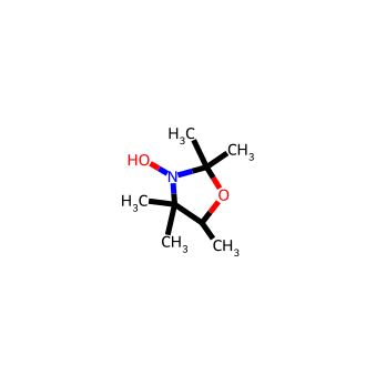 CC1OC(C)(C)N(O)C1(C)C